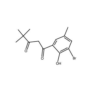 Cc1cc(Br)c(O)c(C(=O)CC(=O)C(C)(C)C)c1